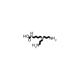 NCCCN(CCCN)CCCCNC(=O)O